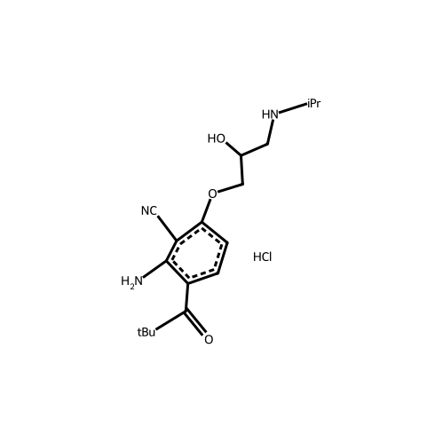 CC(C)NCC(O)COc1ccc(C(=O)C(C)(C)C)c(N)c1C#N.Cl